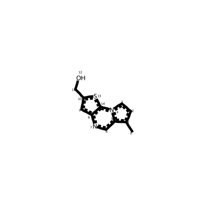 Cc1ccn2c1cnc1cc(CO)sc12